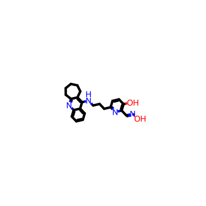 O/N=C/c1nc(CCCNc2c3c(nc4ccccc24)CCCCC3)ccc1O